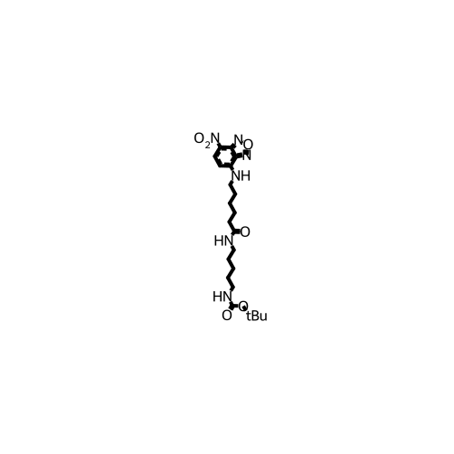 CC(C)(C)OC(=O)NCCCCCNC(=O)CCCCCNc1ccc([N+](=O)[O-])c2nonc12